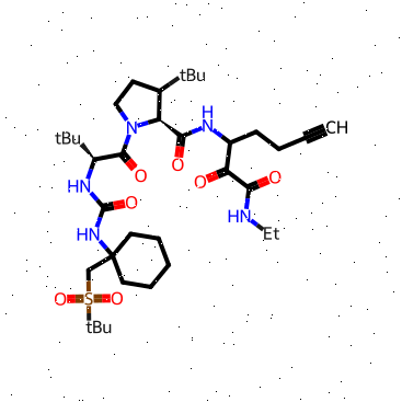 C#CCCC(NC(=O)[C@@H]1C(C(C)(C)C)CCN1C(=O)[C@@H](NC(=O)NC1(CS(=O)(=O)C(C)(C)C)CCCCC1)C(C)(C)C)C(=O)C(=O)NCC